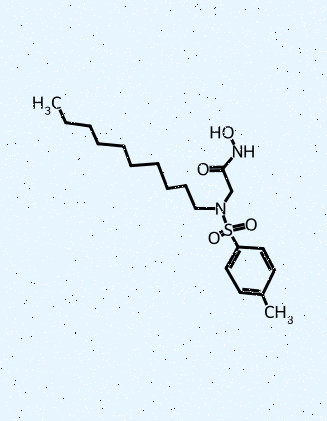 CCCCCCCCCCN(CC(=O)NO)S(=O)(=O)c1ccc(C)cc1